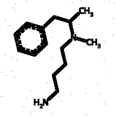 CC(Cc1ccccc1)N(C)CCCCN